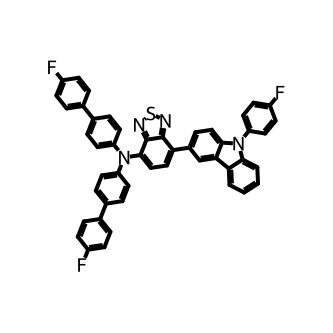 Fc1ccc(-c2ccc(N(c3ccc(-c4ccc(F)cc4)cc3)c3ccc(-c4ccc5c(c4)c4ccccc4n5-c4ccc(F)cc4)c4nsnc34)cc2)cc1